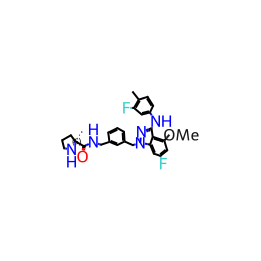 COc1cc(F)cc2c1c(Nc1ccc(C)c(F)c1)nn2Cc1cccc(CNC(=O)[C@]2(C)CCCN2)c1